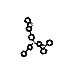 c1ccc(-c2ccc(N(c3ccc(-c4ccc5c(c4)sc4ccccc45)cc3)c3ccc4c(c3)c3ccccc3n4-c3ccccc3)cc2)cc1